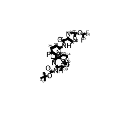 CC(C)(C)OC(=O)NC1=N[C@](C)(c2nc(NC(=O)c3cnc(OC(F)F)cn3)ccc2F)[C@@H]2CCN=[S@]2(=O)C1(C)C